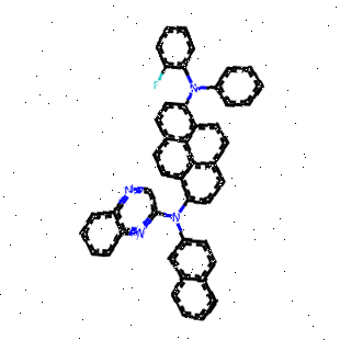 Fc1ccccc1N(c1ccccc1)c1ccc2ccc3c(N(c4ccc5ccccc5c4)c4cnc5ccccc5n4)ccc4ccc1c2c43